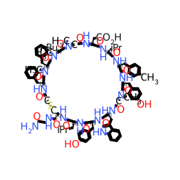 CCCC[C@H]1C(=O)N(C)CC(=O)N[C@@H](CC(=O)O)C(=O)N[C@@H](C(C)C)C(=O)N[C@@H](Cc2ccc(C)cc2)C(=O)N[C@@H](Cc2ccc(O)cc2)C(=O)N(C)CC(=O)N[C@@H](Cc2c[nH]c3ccccc23)C(=O)N[C@@H](Cc2ccc(O)cc2)C(=O)N[C@@H](CC(C)C)C(=O)N[C@H](C(=O)NCC(N)=O)CSCC(=O)N[C@@H](Cc2ccccc2)C(=O)N(C)[C@@H](Cc2ccccc2)C(=O)N1C